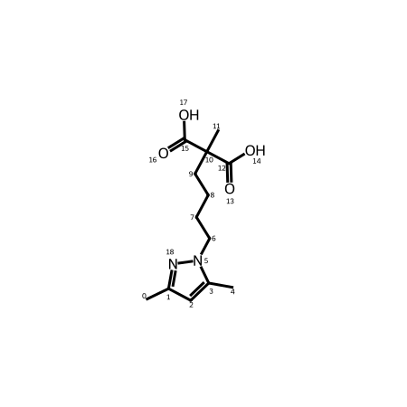 Cc1cc(C)n(CCCCC(C)(C(=O)O)C(=O)O)n1